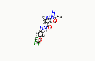 CCC(=O)Nc1cc(C(=O)NCc2cccc(OC(F)(F)F)c2)cc(C)n1